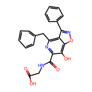 O=C(O)CNC(=O)c1nc(Cc2ccccc2)c2c(-c3ccccc3)noc2c1O